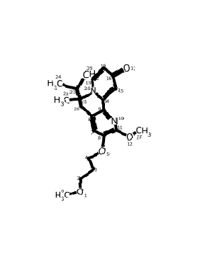 COCCCOc1cc2c(nc1OC)-c1cc(=O)ccn1C(C)(C(C)C)C2